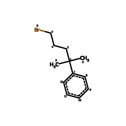 CC(C)(CCCBr)c1ccccc1